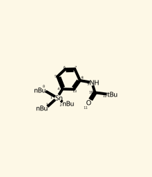 CCC[CH2][Sn]([CH2]CCC)([CH2]CCC)[c]1cccc(NC(=O)C(C)(C)C)c1